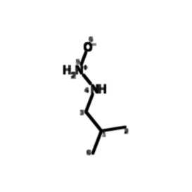 CC(C)CN[NH2+][O-]